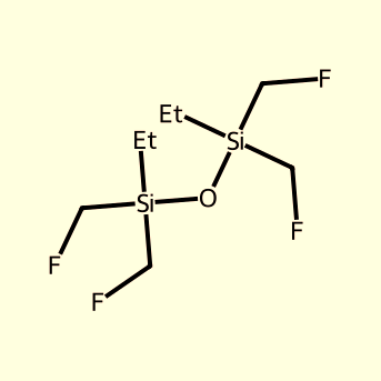 CC[Si](CF)(CF)O[Si](CC)(CF)CF